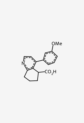 COc1cccc(-c2ccnc3c2C(C(=O)O)CCC3)c1